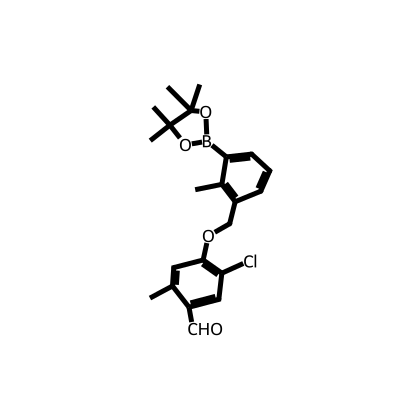 Cc1cc(OCc2cccc(B3OC(C)(C)C(C)(C)O3)c2C)c(Cl)cc1C=O